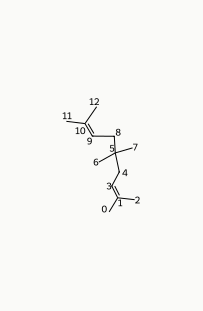 CC(C)=CCC(C)(C)CC=C(C)C